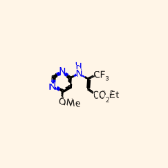 CCOC(=O)C=C(Nc1cc(OC)ncn1)C(F)(F)F